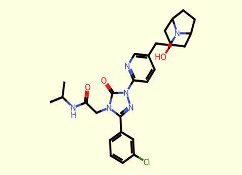 CC(C)NC(=O)Cn1c(-c2cccc(Cl)c2)nn(-c2ccc(CCN3C4CCC3CC(O)C4)cn2)c1=O